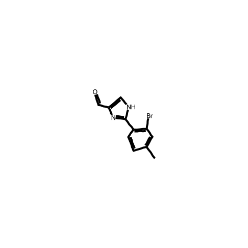 Cc1ccc(-c2nc(C=O)c[nH]2)c(Br)c1